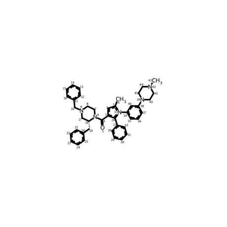 Cc1cc(C(=O)N2CCN(Cc3ccccc3)C[C@H]2Cc2ccccc2)c(-c2ccccc2)n1-c1cccc(N2CCN(C)CC2)c1